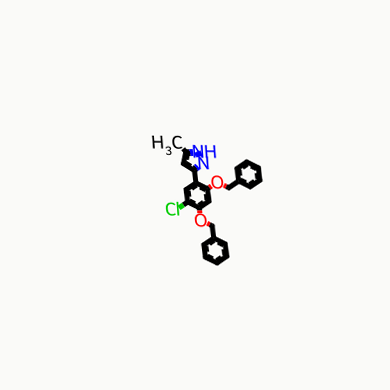 Cc1cc(-c2cc(Cl)c(OCc3ccccc3)cc2OCc2ccccc2)n[nH]1